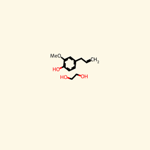 C=CCc1ccc(O)c(OC)c1.OCCO